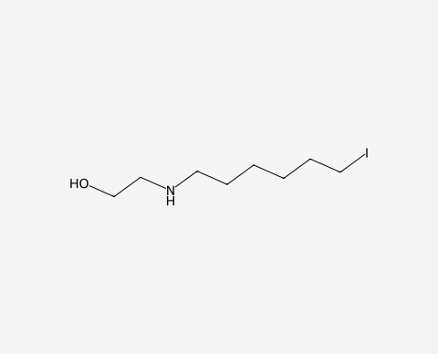 OCCNCCCCCCI